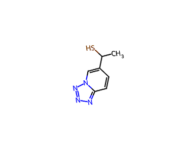 CC(S)c1ccc2nnnn2c1